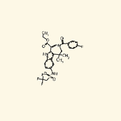 CCOC(=O)C1=CN(C(=O)c2ccc(F)cc2)CC(C)(C)c2c1[nH]c1ccc(NS(=O)(=O)CC(F)(F)F)cc21